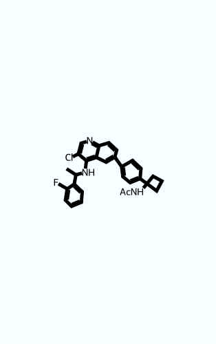 CC(=O)NC1(c2ccc(-c3ccc4ncc(Cl)c(NC(C)c5ccccc5F)c4c3)cc2)CCC1